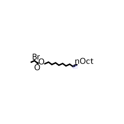 CCCCCCCC/C=C\CCCCCCCCOC(=O)C(C)Br